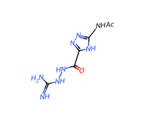 CC(=O)Nc1nnc(C(=O)NNC(=N)N)[nH]1